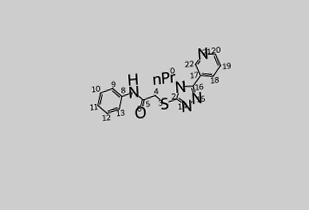 CCCn1c(SCC(=O)Nc2ccccc2)nnc1-c1cccnc1